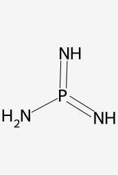 N=P(=N)N